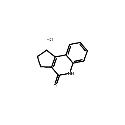 Cl.O=c1[nH]c2ccccc2c2c1CCC2